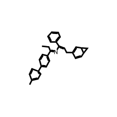 CC/C(=N\C(=C/CC1=CC2CC2C=C1)c1ccccc1)c1ccc(-c2ccc(C)cc2)cc1